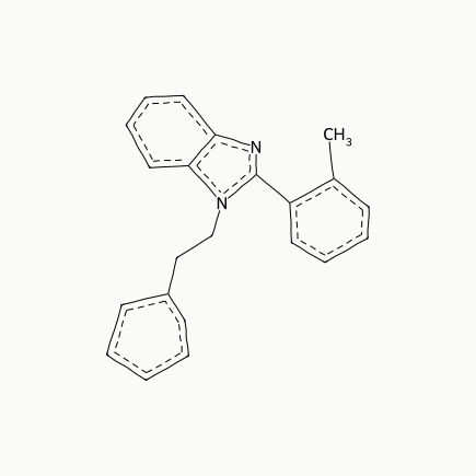 Cc1ccccc1-c1nc2ccccc2n1CCc1ccccc1